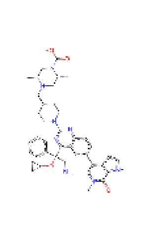 C[C@@H]1CN(CC2CCN(c3nc(C(CN)(OC4CC4)c4ccccc4)c4cc(-c5cn(C)c(=O)c6[nH]ccc56)ccc4n3)CC2)[C@@H](C)CN1C(=O)O